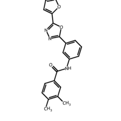 Cc1ccc(C(=O)Nc2cccc(-c3nnc(-c4ccco4)o3)c2)cc1C